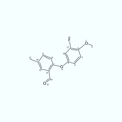 COc1ccc(Oc2ccc(C)cc2C=O)cc1F